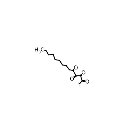 CCCCCCCCCC(=O)C(=O)C(=O)C(=O)I